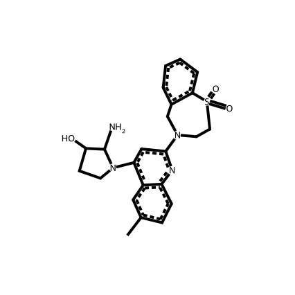 Cc1ccc2nc(N3CCS(=O)(=O)c4ccccc4C3)cc(N3CCC(O)C3N)c2c1